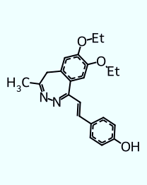 CCOc1cc2c(cc1OCC)C(C=Cc1ccc(O)cc1)=NN=C(C)C2